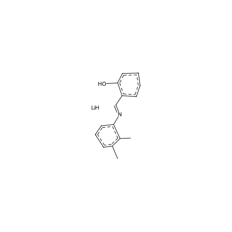 Cc1cccc(N=Cc2ccccc2O)c1C.[LiH]